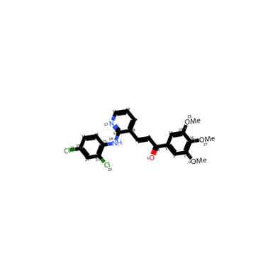 COc1cc(C(=O)C=Cc2cccnc2Nc2ccc(Cl)cc2Cl)cc(OC)c1OC